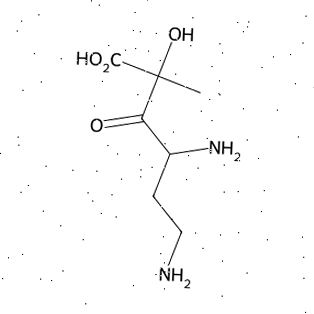 CC(O)(C(=O)O)C(=O)C(N)CCN